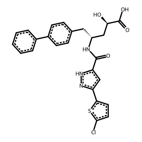 O=C(N[C@H](Cc1ccc(-c2ccccc2)cc1)C[C@@H](O)C(=O)O)c1cc(-c2ccc(Cl)s2)n[nH]1